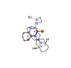 CC(=O)[C@@H]1CCN1c1nc2ccccc2n([C@H]2C[C@H]3CCC[C@@H](C2)N3[C@@H]2C[C@@H]3CCCC[C@@H](C3)C2)c1=O